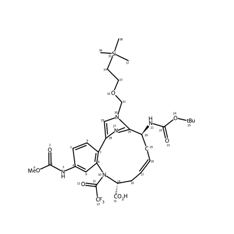 COC(=O)Nc1ccc2c(c1)N(C(=O)C(F)(F)F)[C@@H](C(=O)O)C/C=C\C[C@H](NC(=O)OC(C)(C)C)c1nc-2cn1COCC[Si](C)(C)C